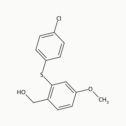 COc1ccc(CO)c(Sc2ccc(Cl)cc2)c1